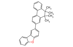 CC1(C)c2ccccc2-c2ccc(-c3ccc4oc5ccccc5c4c3)cc2C1(C)C